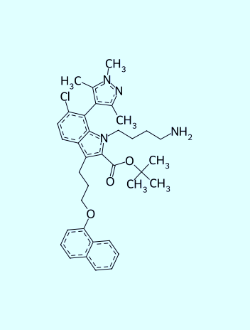 Cc1nn(C)c(C)c1-c1c(Cl)ccc2c(CCCOc3cccc4ccccc34)c(C(=O)OC(C)(C)C)n(CCCCN)c12